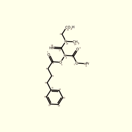 CCCOC(=O)N(OC(=O)CCCc1ccccc1)C(=N)N(C)CC(=O)O